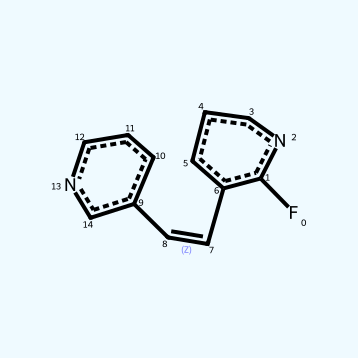 Fc1ncccc1/C=C\c1cccnc1